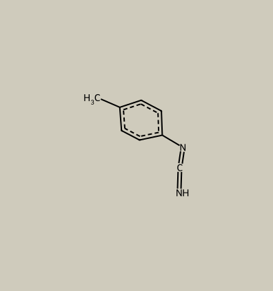 Cc1ccc(N=C=N)cc1